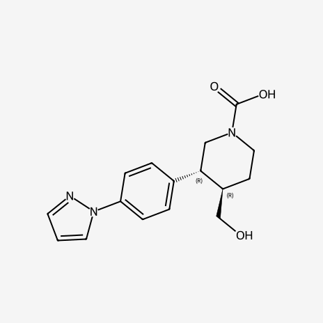 O=C(O)N1CC[C@@H](CO)[C@H](c2ccc(-n3cccn3)cc2)C1